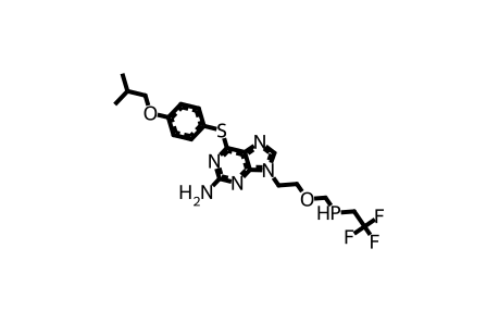 CC(C)COc1ccc(Sc2nc(N)nc3c2ncn3CCOCPCC(F)(F)F)cc1